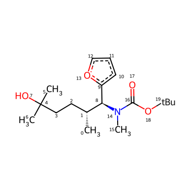 C[C@H](CCC(C)(C)O)[C@@H](c1ccco1)N(C)C(=O)OC(C)(C)C